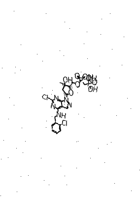 C[C@]1(O)C[C@H](n2ncc3c(NCc4ccccc4Cl)nc(Cl)nc32)O[C@@H]1COP(=O)(O)CP(=O)(O)O